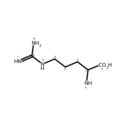 [NH]C(CCCNC(=N)N)C(=O)O